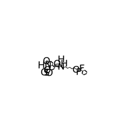 CS(=O)(=O)Oc1ccc([C@@H](O)CNCCCCCCOCC(F)(F)c2ccccc2)c2ccc(=O)[nH]c12